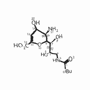 CCC(C)C(=O)NC[C@H](O)[C@H](O)C1OC(C(=O)O)=CC(O)[C@H]1N